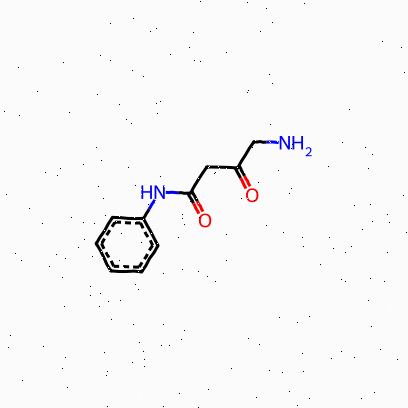 NCC(=O)CC(=O)Nc1ccccc1